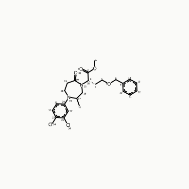 COC(=O)[C@H](CCOCc1ccccc1)N1CC(C)N(c2ccc(Cl)c(Cl)c2)CCC1=O